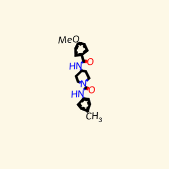 COc1ccc(C(=O)NC2CCN(C(=O)Nc3ccc(C)cc3)CC2)cc1